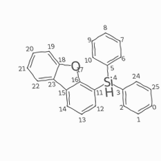 c1ccc([SiH](c2ccccc2)c2cccc3c2oc2ccccc23)cc1